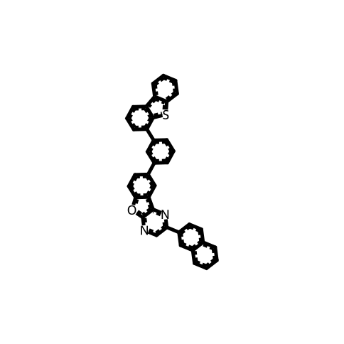 c1cc(-c2ccc3oc4ncc(-c5ccc6ccccc6c5)nc4c3c2)cc(-c2cccc3c2sc2ccccc23)c1